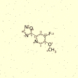 COc1cnc(-c2ncno2)cc1F